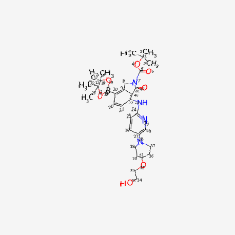 CC(C)(C)OC(=O)N1Cc2c(B3OC(C)(C)C(C)(C)O3)ccc(Nc3ccc(N4CCC(OCCO)CC4)cn3)c2C1=O